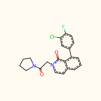 O=C(Cn1ccc2cccc(-c3ccc(F)c(Cl)c3)c2c1=O)N1CCCC1